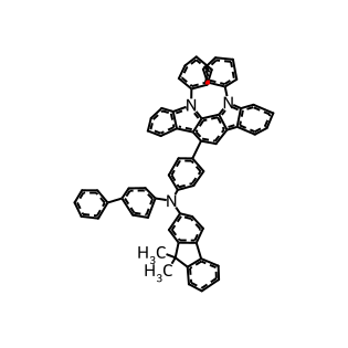 CC1(C)c2ccccc2-c2ccc(N(c3ccc(-c4ccccc4)cc3)c3ccc(-c4cc5c6ccccc6n(-c6ccccc6)c5c5c4c4ccccc4n5-c4ccccc4)cc3)cc21